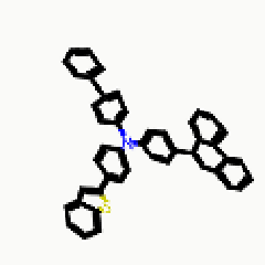 c1ccc(-c2ccc(N(c3ccc(-c4cc5ccccc5s4)cc3)c3ccc(-c4cc5ccccc5c5ccccc45)cc3)cc2)cc1